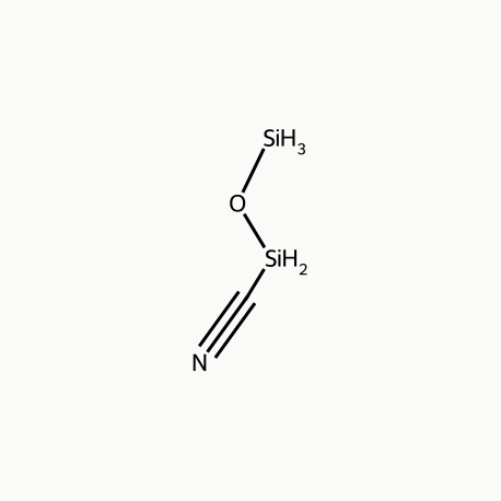 N#C[SiH2]O[SiH3]